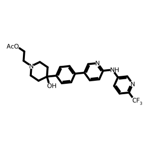 CC(=O)OCCN1CCC(O)(c2ccc(-c3ccc(Nc4ccc(C(F)(F)F)nc4)nc3)cc2)CC1